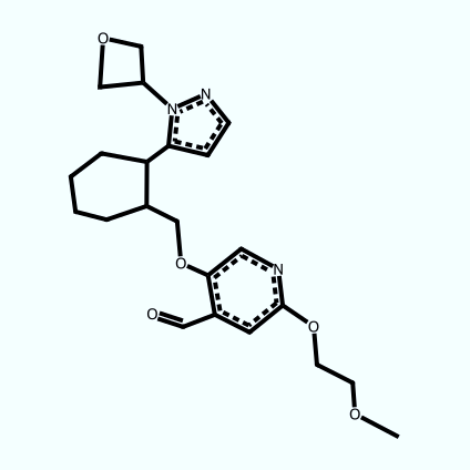 COCCOc1cc(C=O)c(OCC2CCCCC2c2ccnn2C2COC2)cn1